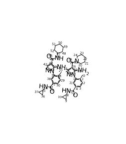 Cc1ccc(C(=O)NC2CC2)cc1-n1ncc(C(=O)N2CCCCC2)c1N.Cc1ccc(C(=O)NC2CC2)cc1-n1ncc(C(=O)NC2CCCCC2)c1N